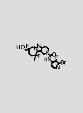 O=C(Nc1ccnc(Br)c1F)N1CCc2nn3c(c2C1)C(F)(F)CC[C@@](F)(CO)C3